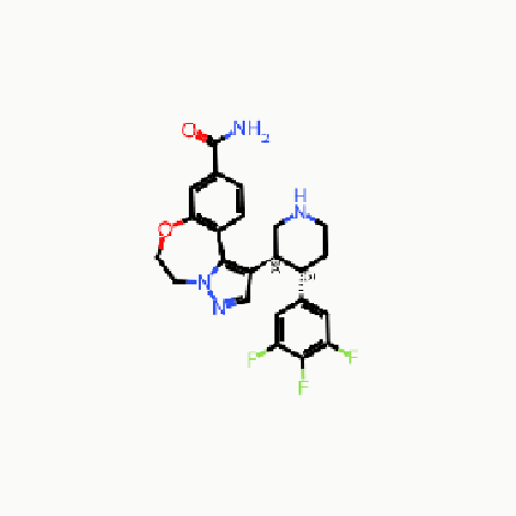 NC(=O)c1ccc2c(c1)OCCn1ncc([C@H]3CNCC[C@@H]3c3cc(F)c(F)c(F)c3)c1-2